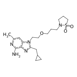 Cc1cc2c(nc(CC3CC3)n2CCOCCCN2CCCS2(=O)=O)c(N)n1